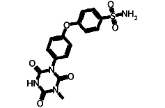 Cn1c(=O)[nH]c(=O)n(-c2ccc(Oc3ccc(S(N)(=O)=O)cc3)cc2)c1=O